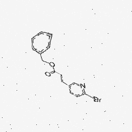 O=C(/C=C/c1ccc(Br)nc1)OCc1ccccc1